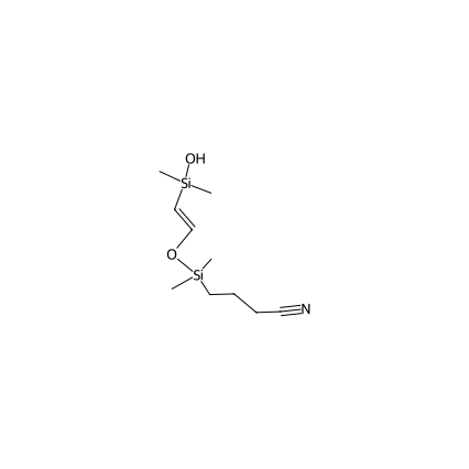 C[Si](C)(O)C=CO[Si](C)(C)CCCC#N